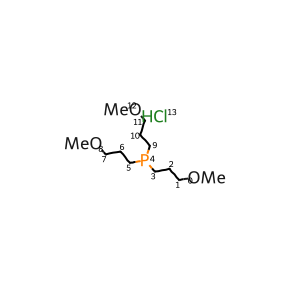 COCCCP(CCCOC)CCCOC.Cl